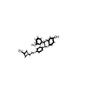 CCC1CN(CCOc2ccc(C3Oc4ccc(O)cc4SC3c3cccc(O)c3)cc2)C1